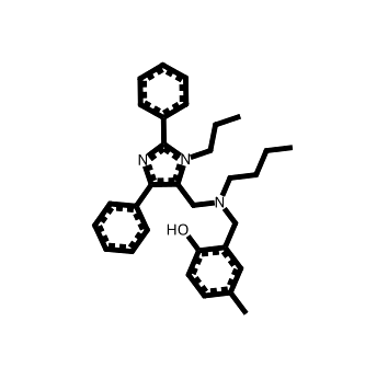 CCCCN(Cc1cc(C)ccc1O)Cc1c(-c2ccccc2)nc(-c2ccccc2)n1CCC